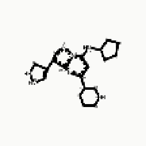 C1=C(c2cnn3c(NC4CCCC4)cc(C4CCCNC4)nc23)CNN1